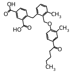 CCCCC(=O)c1ccc(OCc2c(C)cccc2Cc2ccc(C(=O)O)cc2C(=O)O)c(C)c1